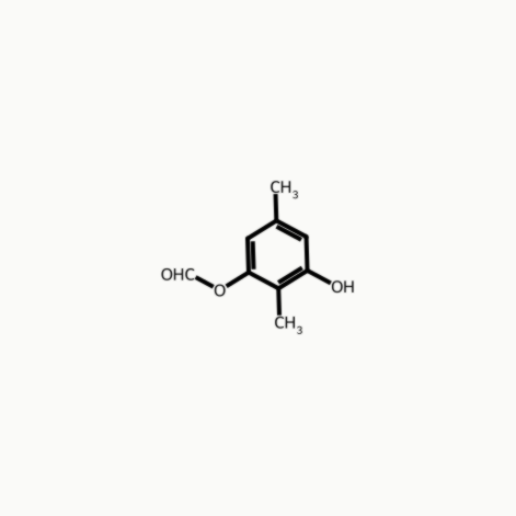 Cc1cc(O)c(C)c(OC=O)c1